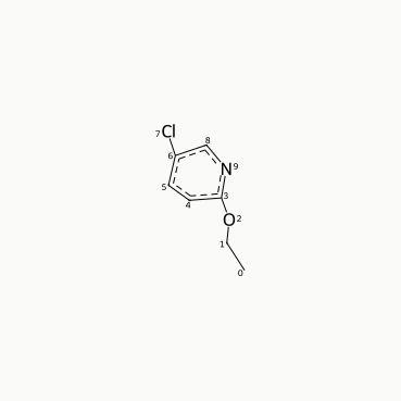 CCOc1ccc(Cl)cn1